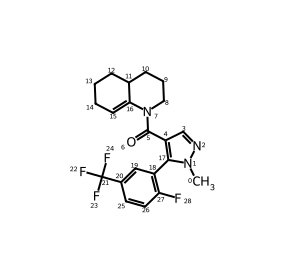 Cn1ncc(C(=O)N2CCCC3CCCC=C32)c1-c1cc(C(F)(F)F)ccc1F